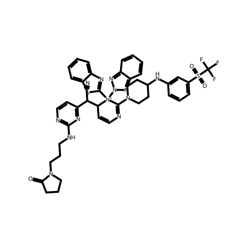 N#CC(c1ccnc(NCCCN2CCCC2=O)n1)C1C=CN=C(N2CCC(Nc3cccc(S(=O)(=O)C(F)(F)F)c3)CC2)[N+]1(c1nc2ccccc2s1)n1nc2ccccc2n1